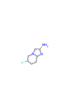 Nc1cn2cc(F)ccc2n1